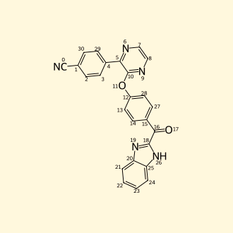 N#Cc1ccc(-c2nccnc2Oc2ccc(C(=O)c3nc4ccccc4[nH]3)cc2)cc1